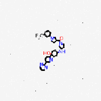 O=C(C1CCN(c2cccc(C(F)(F)F)c2)C1)N1CC[C@H](NC2CCC(O)(c3ccc(-c4ncccn4)cn3)CC2)C1